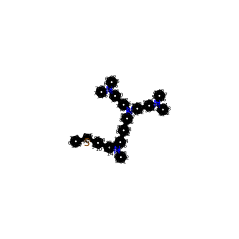 c1ccc(-c2ccc(-c3ccc(-c4ccc5c(c4)c4cc(-c6ccc(-c7ccc(N(c8ccc(-c9ccc(N(c%10ccccc%10)c%10ccccc%10)cc9)cc8)c8ccc(-c9ccc(N(c%10ccccc%10)c%10ccccc%10)cc9)cc8)cc7)cc6)ccc4n5-c4ccccc4)cc3)s2)cc1